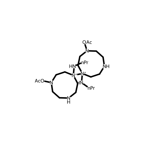 CCCN[N+]1([N+]2(NCCC)CCNCCN(OC(C)=O)CC2)CCNCCN(OC(C)=O)CC1